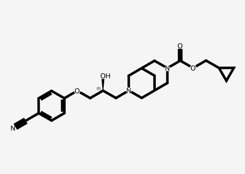 N#Cc1ccc(OC[C@@H](O)CN2CC3CC(C2)CN(C(=O)OCC2CC2)C3)cc1